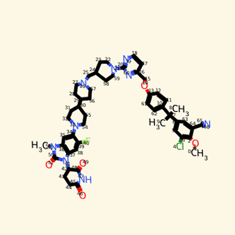 COc1c(Cl)cc(C(C)(C)c2ccc(OCc3ccnc(N4CCC(CN5CCC(C6CCN(c7cc8c(cc7F)n(C7CCC(=O)NC7=O)c(=O)n8C)CC6)CC5)CC4)n3)cc2)cc1C#N